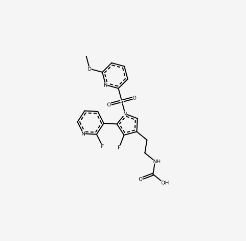 COc1cccc(S(=O)(=O)n2cc(CCNC(=O)O)c(F)c2-c2cccnc2F)n1